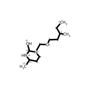 CCC(C)CCOCN1CCC(C)NC1O